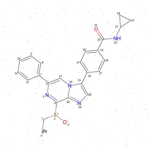 CC(C)C[S+]([O-])c1nc(-c2ccccc2)cn2c(-c3ccc(C(=O)NC4CC4)cc3)cnc12